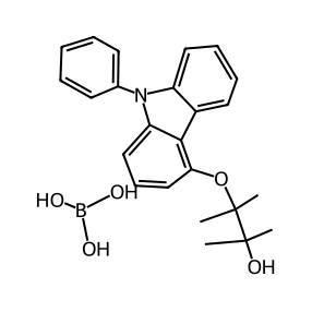 CC(C)(O)C(C)(C)Oc1cccc2c1c1ccccc1n2-c1ccccc1.OB(O)O